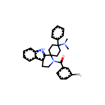 CN(C)C1(c2ccccc2)CCC2(CC1)c1[nH]c3ccccc3c1CCN2C(=O)c1cccc([N+](=O)[O-])c1